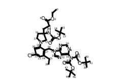 CCOC(=O)CCC1(NC(=O)OC(C)(C)C)CCN(c2cc(Cl)cc(CC)c2Cn2cnc3c(N(C(=O)OC(C)(C)C)C(=O)OC(C)(C)C)ncnc32)C1